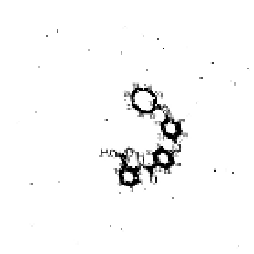 O=C(Nc1ccccc1C(=O)O)c1ccc(Oc2ccc(OC3CCCCCCC3)cc2)cc1